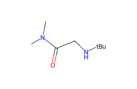 CN(C)C(=O)CNC(C)(C)C